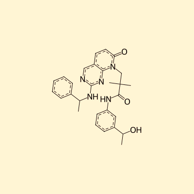 CC(O)c1cccc(NC(=O)C(C)(C)Cn2c(=O)ccc3cnc(NC(C)c4ccccc4)nc32)c1